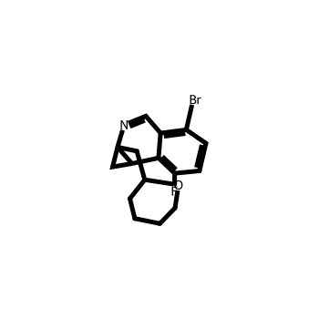 Fc1ccc(Br)c2c1C1CC1(CC1CCCCO1)N=C2